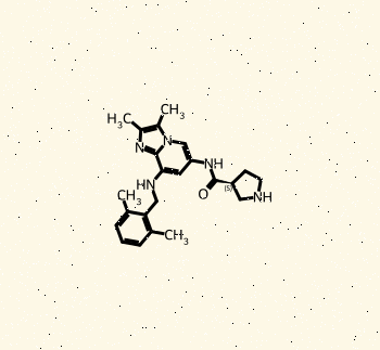 Cc1cccc(C)c1CNc1cc(NC(=O)[C@H]2CCNC2)cn2c(C)c(C)nc12